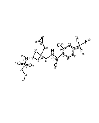 CCCS(=O)(=O)N(C)[C@H]1C[C@@](CNC(=O)c2ccc(C(F)(F)F)cc2Cl)(CC2CC2)C1